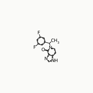 CC(c1cc(F)cc(F)c1)n1ccc2[nH]cnc2c1=O